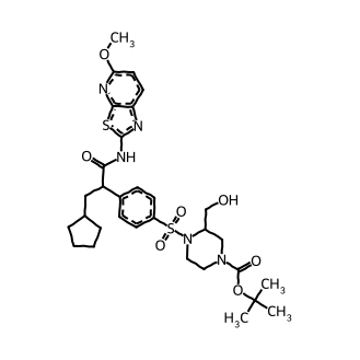 COc1ccc2nc(NC(=O)C(CC3CCCC3)c3ccc(S(=O)(=O)N4CCN(C(=O)OC(C)(C)C)CC4CO)cc3)sc2n1